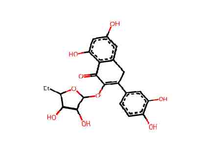 CCC1OC(OC2=C(c3ccc(O)c(O)c3)Cc3cc(O)cc(O)c3C2=O)C(O)C1O